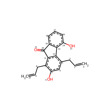 C=CCc1cc(O)c(CC=C)c2c1-c1c(O)cccc1C2=O